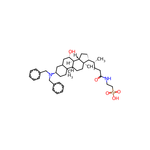 C[C@H](CCC(=O)NCCS(=O)(=O)O)[C@H]1CC[C@H]2[C@@H]3[C@@H](O)CC4C[C@H](N(Cc5ccccc5)Cc5ccccc5)CC[C@]4(C)[C@H]3CC[C@]12C